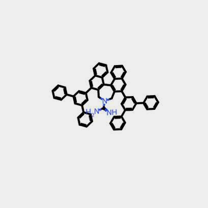 N=C(N)N1Cc2c(-c3cc(-c4ccccc4)cc(-c4ccccc4)c3)cc3ccccc3c2-c2c(c(-c3cc(-c4ccccc4)cc(-c4ccccc4)c3)cc3ccccc23)C1